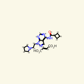 O=C(Nc1ncnc2c1cnn2CCN1CCCC1)C1CCC1.O=C(O)C=CC(=O)O